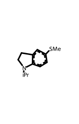 CSc1ccc2c(c1)CCN2C(C)C